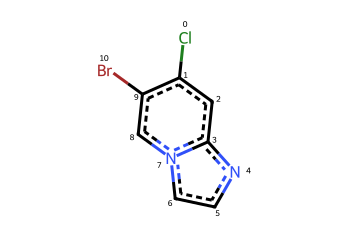 Clc1cc2nccn2cc1Br